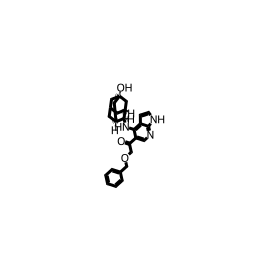 O=C(COCc1ccccc1)c1cnc2[nH]ccc2c1N[C@@H]1[C@@H]2CC3C[C@H]1C[C@@](O)(C3)C2